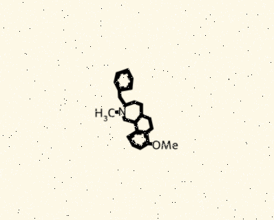 COc1cccc2c1CCC1CCC(Cc3ccccc3)N(C)CC21